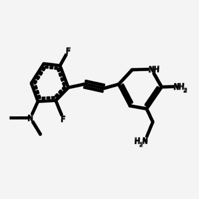 CN(C)c1ccc(F)c(C#CC2=CC(CN)=C(N)NC2)c1F